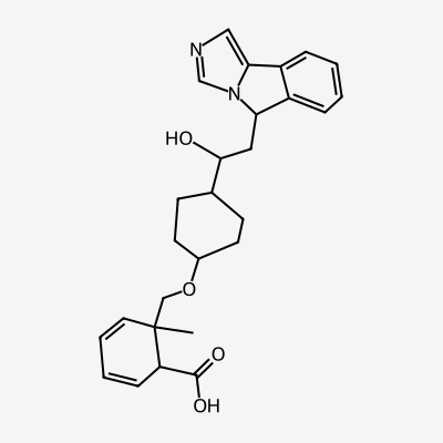 CC1(COC2CCC(C(O)CC3c4ccccc4-c4cncn43)CC2)C=CC=CC1C(=O)O